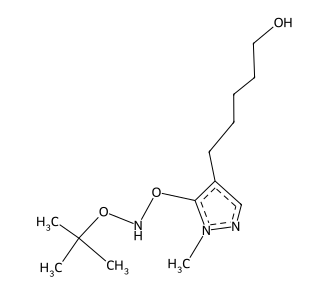 Cn1ncc(CCCCCO)c1ONOC(C)(C)C